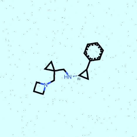 c1ccc(C2C[C@@H]2NCC2(CN3CCC3)CC2)cc1